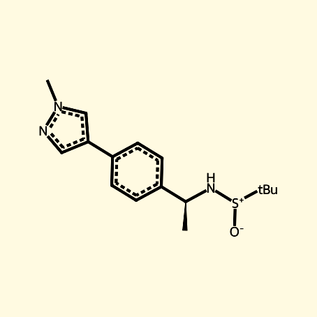 C[C@H](N[S+]([O-])C(C)(C)C)c1ccc(-c2cnn(C)c2)cc1